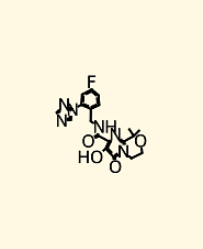 CC1(C)OCCn2c1nc(C(=O)NCc1ccc(F)cc1-n1cncn1)c(O)c2=O